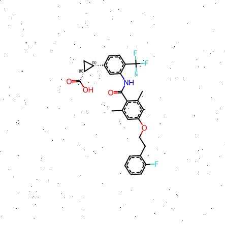 Cc1cc(OCCc2ccccc2F)cc(C)c1C(=O)Nc1cc([C@H]2C[C@H]2C(=O)O)ccc1C(F)(F)F